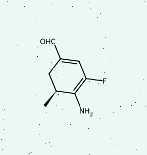 C[C@H]1CC(C=O)=CC(F)=C1N